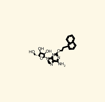 Nc1nc(OCCc2cccc3ccccc23)nc2c1ncn2[C@@H]1O[C@H](CO)[C@@H](O)[C@H]1O